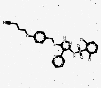 N#CCCCOc1ccc(CSc2[nH]nc(NS(=O)(=O)c3c(Cl)cccc3Cl)c2-c2ccccn2)cc1